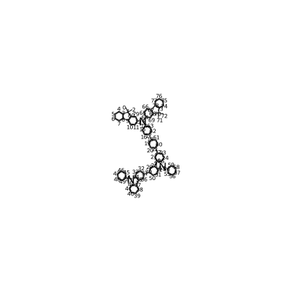 CC1(C)c2ccccc2-c2ccc(N(c3ccc(-c4ccc(-c5ccc6c(c5)c5cc(-c7ccc8c(c7)c7ccccc7n8-c7ccccc7)ccc5n6-c5ccccc5)cc4)cc3)c3ccc4c(c3)C(C)(C)c3ccccc3-4)cc21